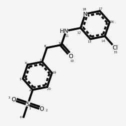 CS(=O)(=O)c1ccc(CC(=O)Nc2cc(Cl)ccn2)cc1